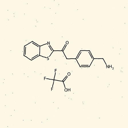 NCc1ccc(CC(=O)c2nc3ccccc3s2)cc1.O=C(O)C(F)(F)F